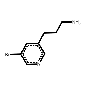 NCCCc1cncc(Br)c1